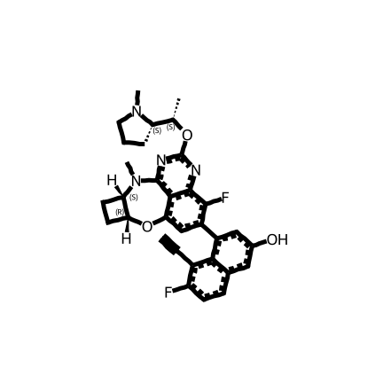 C#Cc1c(F)ccc2cc(O)cc(-c3cc4c5c(nc(O[C@@H](C)[C@@H]6CCCN6C)nc5c3F)N(C)[C@H]3CC[C@H]3O4)c12